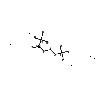 CN(CCCC(C)(C)C)C(C)(C)C